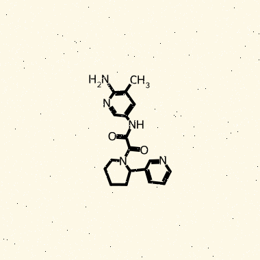 Cc1cc(NC(=O)C(=O)N2CCCCC2c2cccnc2)cnc1N